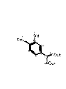 CCCCCCCCN(CCCCCCCC)c1ccc(C=O)c(O)c1